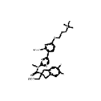 COc1cc(OCCC[N+](C)(C)C)ccc1-c1csc(N(C)C(=O)C2(CC(=O)[O-])Cc3cc(F)c(F)cc3C2)n1